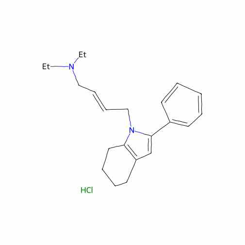 CCN(CC)CC=CCn1c(-c2ccccc2)cc2c1CCCC2.Cl